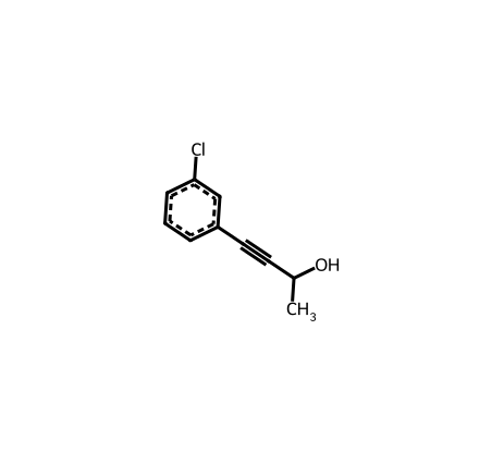 CC(O)C#Cc1cccc(Cl)c1